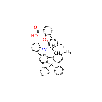 C/C=c1\c(=C(/C)n2c3ccccc3c3ccc4c(c32)C(C)=C(/C=C\CC)C42c3ccccc3-c3ccccc32)oc2c(B(O)O)cccc12